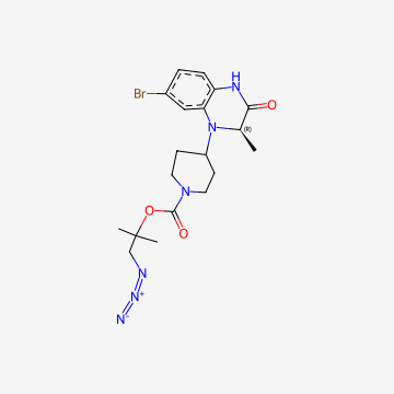 C[C@@H]1C(=O)Nc2ccc(Br)cc2N1C1CCN(C(=O)OC(C)(C)CN=[N+]=[N-])CC1